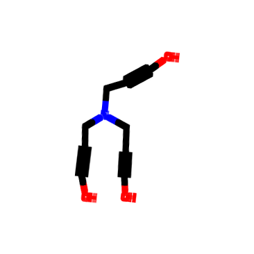 OC#CCN(CC#CO)CC#CO